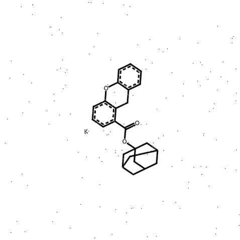 O=C(OC12CC3CC(CC(C3)C1)C2)c1cccc2c1Cc1ccccc1O2.[K]